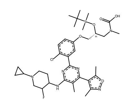 Cc1noc(C)c1-c1nc(-c2cc(OC[C@@H](CN(C)C(=O)O)O[Si](C)(C)C(C)(C)C)ccc2Cl)nc(NC2CCN(C3CC3)CC2F)c1C